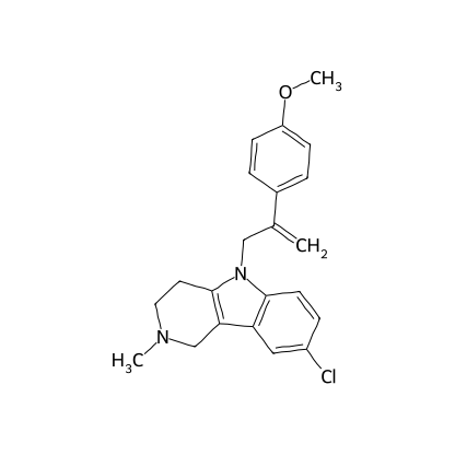 C=C(Cn1c2c(c3cc(Cl)ccc31)CN(C)CC2)c1ccc(OC)cc1